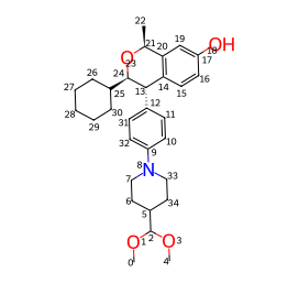 COC(OC)C1CCN(c2ccc([C@H]3c4ccc(O)cc4[C@H](C)O[C@@H]3C3CCCCC3)cc2)CC1